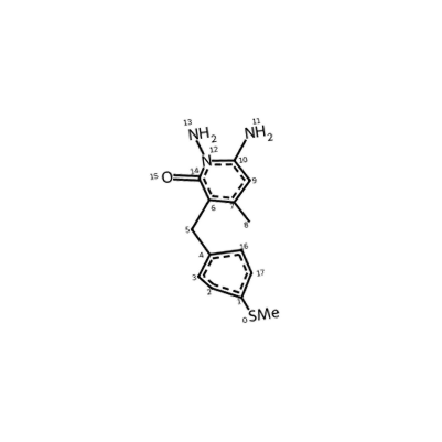 CSc1ccc(Cc2c(C)cc(N)n(N)c2=O)cc1